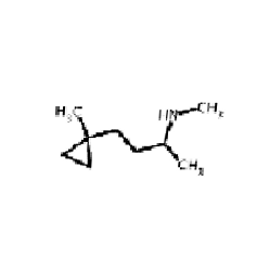 CNC(C)CCC1(C)CC1